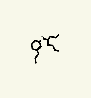 CCCCC(CCC)OC1C=C(CCC)CCC1